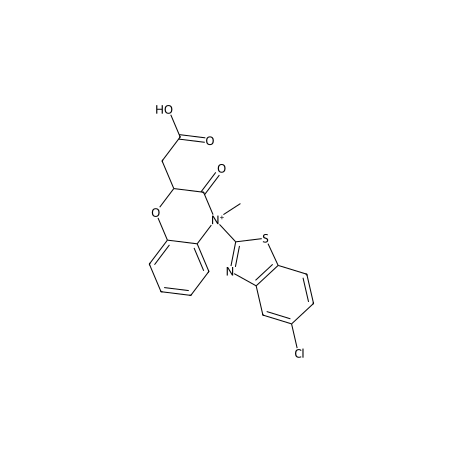 C[N+]1(c2nc3cc(Cl)ccc3s2)C(=O)C(CC(=O)O)Oc2ccccc21